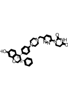 O=C1CCN(c2ccc(CN3CCN(c4ccc([C@H]5c6ccc(O)cc6OC[C@H]5c5ccccc5)cc4)CC3)nn2)C(=O)N1